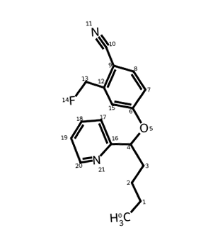 CCCCC(Oc1ccc(C#N)c(CF)c1)c1ccccn1